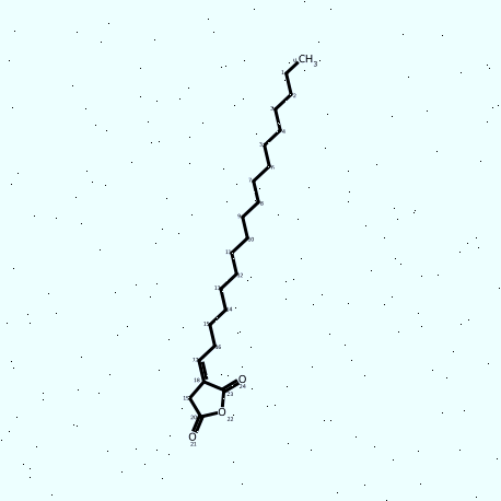 CCCCCCCCCCCCCCCCCC=C1CC(=O)OC1=O